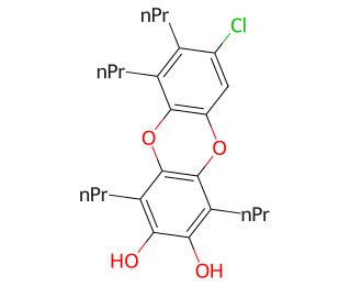 CCCc1c(Cl)cc2c(c1CCC)Oc1c(CCC)c(O)c(O)c(CCC)c1O2